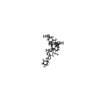 CC(CCC(=O)OCc1ccccc1)[C@H]1CC[C@H]2C3[C@H](O)CC4C[C@H](O)CC[C@]4(C)[C@H]3C[C@H](O)[C@]12C